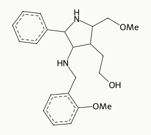 COCC1NC(c2ccccc2)C(NCc2ccccc2OC)C1CCO